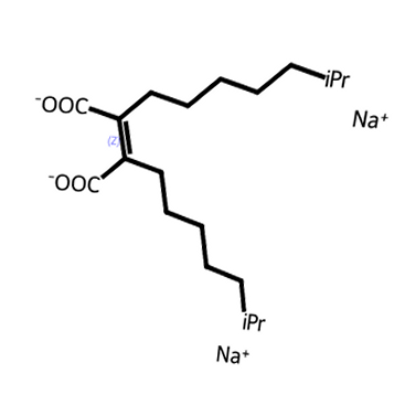 CC(C)CCCCC/C(C(=O)[O-])=C(\CCCCCC(C)C)C(=O)[O-].[Na+].[Na+]